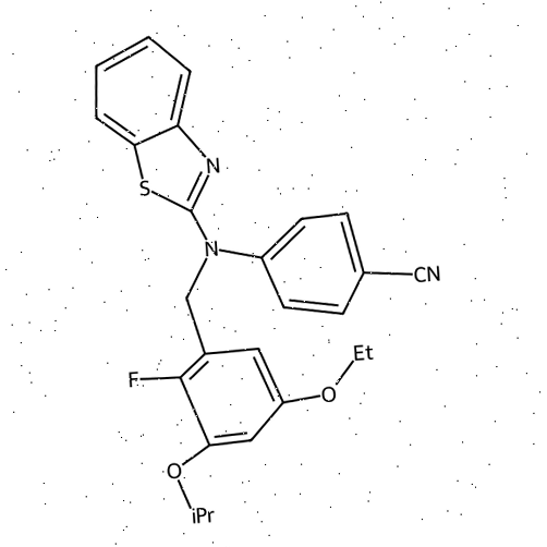 CCOc1cc(CN(c2ccc(C#N)cc2)c2nc3ccccc3s2)c(F)c(OC(C)C)c1